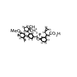 COc1cc(-c2ccc(COc3cccc([C@H](CC(=O)O)CC4CC4)c3F)cc2[C@@H]2CCCC2(C)C)c(F)cn1